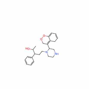 CC(O)C(CCN1CCNCC1C1=C2CC=CC=C2OOC1)c1ccccc1